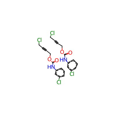 O=C(Nc1cccc(Cl)c1)OCC#CCCl.O=C(Nc1cccc(Cl)c1)OCC#CCCl